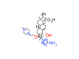 CC[C@@H]1CC[C@H]2C(=CC[C@@]3(C)[C@H](C(=O)O)[C@@](C)([C@H](C)C(C)C)CC[C@]23C)[C@@]1(CO)CC(C)(COCCN1CCN(C)CC1)n1nnc(N)n1